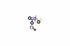 O=C1NN(C(c2ccccc2)c2ccc(N3CCOC(C4CC4)C3)cc2)C(=O)C1Sc1ccccc1Cl